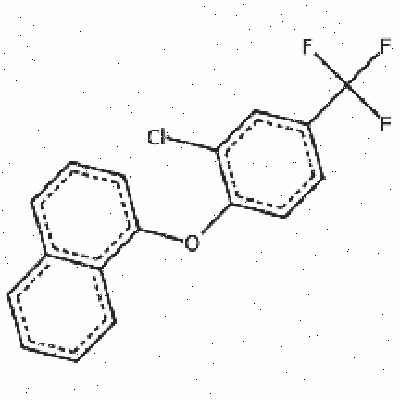 FC(F)(F)c1ccc(Oc2[c]ccc3ccccc23)c(Cl)c1